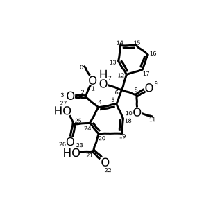 COC(=O)c1c(C(O)(C(=O)OC)c2ccccc2)ccc(C(=O)O)c1C(=O)O